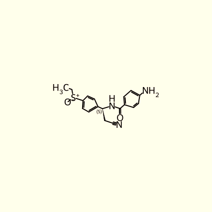 CC[S+]([O-])c1ccc([C@H](CC#N)NC(=O)c2ccc(N)cc2)cc1